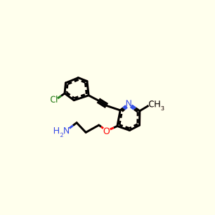 Cc1ccc(OCCCN)c(C#Cc2cccc(Cl)c2)n1